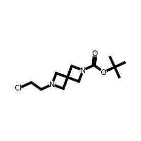 CC(C)(C)OC(=O)N1CC2(CN(CCCl)C2)C1